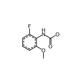 COc1cccc(F)c1NC([O])=O